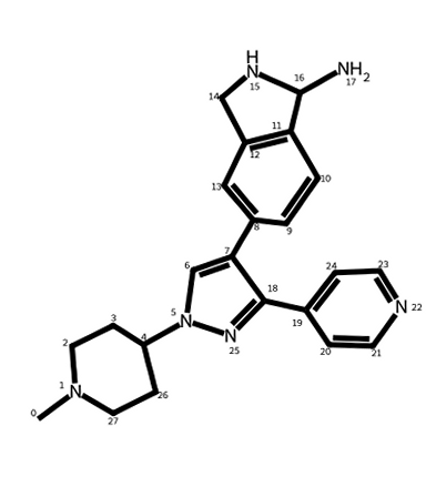 CN1CCC(n2cc(-c3ccc4c(c3)CNC4N)c(-c3ccncc3)n2)CC1